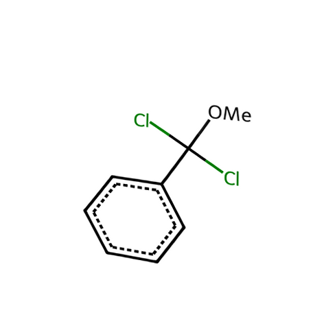 [CH2]OC(Cl)(Cl)c1ccccc1